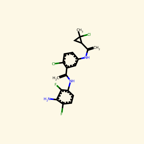 C=C(Nc1ccc(F)c(N)c1F)c1cc(NC(=C)C2CC2(C)Cl)ccc1Cl